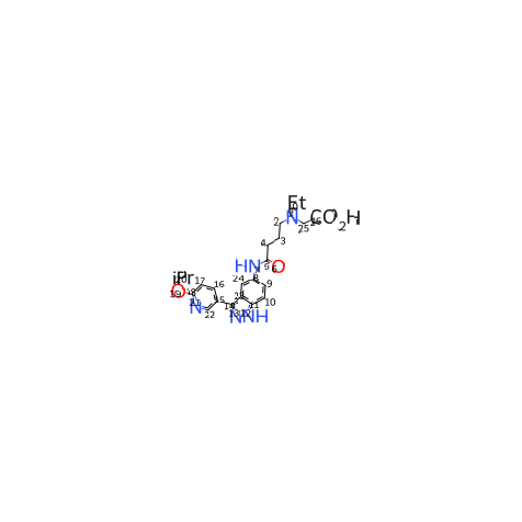 CCN(CCCC(=O)Nc1ccc2[nH]nc(-c3ccc(OC(C)C)nc3)c2c1)CC(=O)O